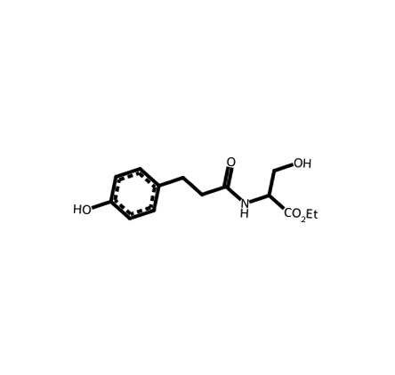 CCOC(=O)C(CO)NC(=O)CCc1ccc(O)cc1